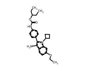 CCOc1ccc2c(N)c(-c3ccc(NC(=O)OC(CC)CC)cc3)n(C3CCC3)c2c1